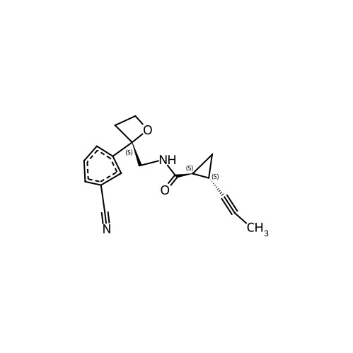 CC#C[C@H]1C[C@@H]1C(=O)NC[C@@]1(c2cccc(C#N)c2)CCO1